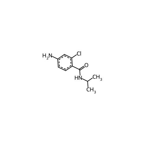 CC(C)NC(=O)c1ccc(N)cc1Cl